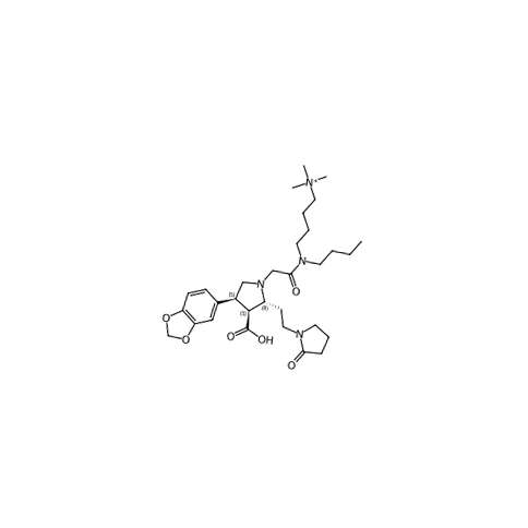 CCCCN(CCCC[N+](C)(C)C)C(=O)CN1C[C@H](c2ccc3c(c2)OCO3)[C@H](C(=O)O)[C@H]1CCN1CCCC1=O